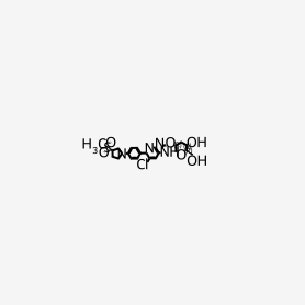 CS(=O)(=O)C1CCN(c2ccc(-c3nc4nc(O[C@H]5CO[C@H](CO)[C@@H](O)C5)[nH]c4cc3Cl)cc2)C1